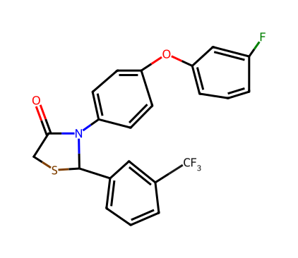 O=C1CSC(c2cccc(C(F)(F)F)c2)N1c1ccc(Oc2cccc(F)c2)cc1